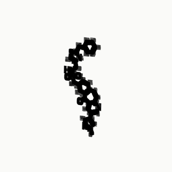 Cn1cc(-c2cnc3ccc4ccc(CS(=O)(=O)NCc5csc(Cc6ccccc6)n5)cc4c(=O)c3c2)cn1